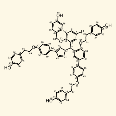 Cc1cc(I)cc(C(c2cc(-c3ccc(OCCc4ccc(O)cc4)cc3)ccc2OCCc2ccc(O)cc2)C2C=CC(c3ccc(OCCc4ccc(O)cc4)cc3)=C2)c1OCc1ccc(O)cc1